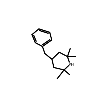 CC1(C)CC(Cc2ccccc2)CC(C)(C)P1